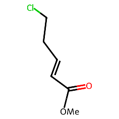 COC(=O)/C=C/CCCl